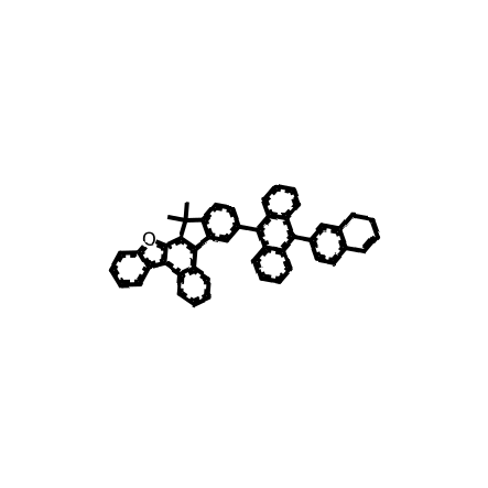 CC1(C)c2ccc(-c3c4ccccc4c(-c4ccc5c(c4)CCC=C5)c4ccccc34)cc2-c2c1c1oc3ccccc3c1c1ccccc21